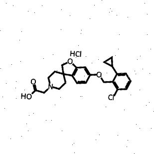 Cl.O=C(O)CN1CCC2(CC1)COc1cc(OCc3c(Cl)cccc3C3CC3)ccc12